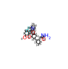 COc1cccc2c1Oc1cc(-c3ccccc3CC(N)=O)ccc1C2C1CC2CCC(C1)N2C(=O)C(F)(F)F